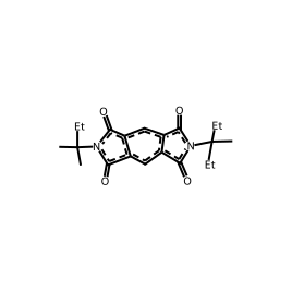 CCC(C)(C)n1c(=O)c2cc3c(=O)n(C(C)(CC)CC)c(=O)c3cc2c1=O